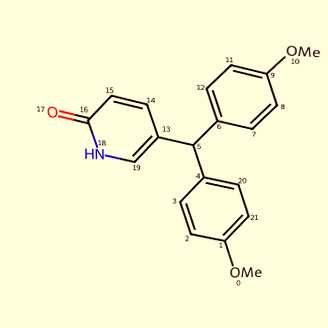 COc1ccc(C(c2ccc(OC)cc2)c2ccc(=O)[nH]c2)cc1